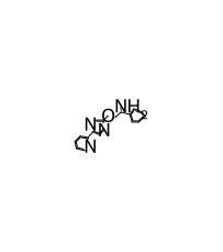 N[C@H](COc1cnc(-c2ccccn2)cn1)c1ccccc1